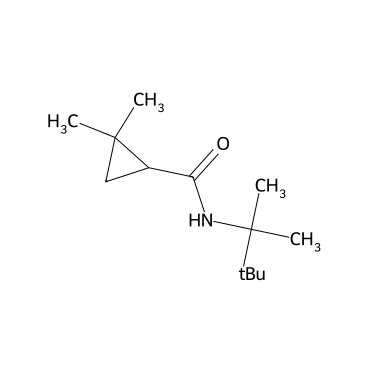 CC1(C)CC1C(=O)NC(C)(C)C(C)(C)C